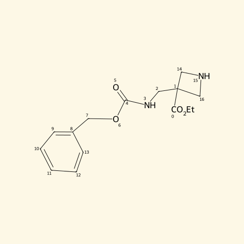 CCOC(=O)C1(CNC(=O)OCc2ccccc2)CNC1